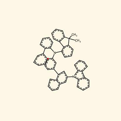 CC1(C)c2ccccc2-c2c(N(c3cccc(-c4cc(-n5c6ccccc6c6ccccc65)cc5ccccc45)c3)c3ccccc3-c3ccccc3)cccc21